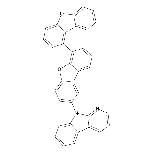 c1ccc2c(c1)oc1cccc(-c3cccc4c3oc3ccc(-n5c6ccccc6c6cccnc65)cc34)c12